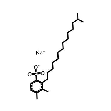 Cc1ccc(S(=O)(=O)[O-])c(CCCCCCCCCCCCC(C)C)c1C.[Na+]